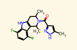 Cc1cc(C(=O)N2C(C)Cc3[nH]c4c(F)ccc(F)c4c3C2C)n[nH]1